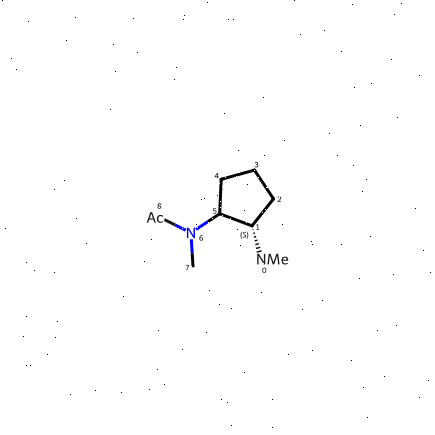 CN[C@H]1CCCC1N(C)C(C)=O